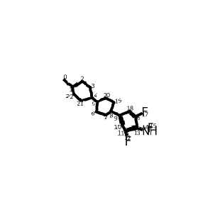 CC1CCC(C2CCC(c3cc(F)c(NF)c(F)c3)CC2)CC1